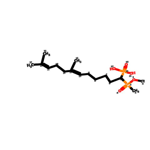 CCOP(C)(=O)C(CCCC/C=C(\C)CCC=C(C)C)P(=O)(O)O